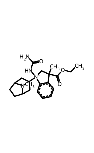 CCOC(=O)C1(C)C[N+](NC(N)=O)(C2CC3CCC(C2)N3C)c2ccccc21